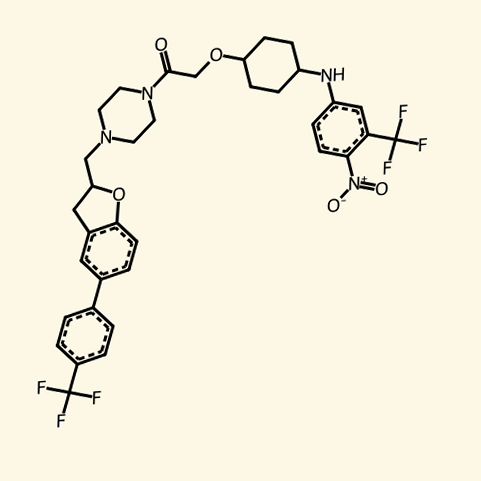 O=C(COC1CCC(Nc2ccc([N+](=O)[O-])c(C(F)(F)F)c2)CC1)N1CCN(CC2Cc3cc(-c4ccc(C(F)(F)F)cc4)ccc3O2)CC1